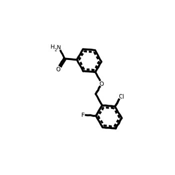 NC(=O)c1cccc(OCc2c(F)cccc2Cl)c1